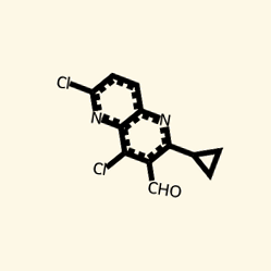 O=Cc1c(C2CC2)nc2ccc(Cl)nc2c1Cl